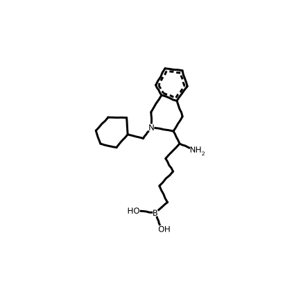 NC(CCCCB(O)O)C1Cc2ccccc2CN1CC1CCCCC1